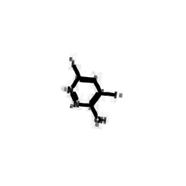 Oc1nnc(I)cc1I